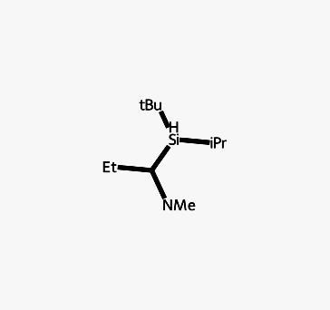 CCC(NC)[SiH](C(C)C)C(C)(C)C